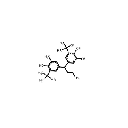 CCCC(c1cc(C)c(O)c(C(C)(C)C)c1)c1cc(C)c(O)c(C(C)(C)C)c1